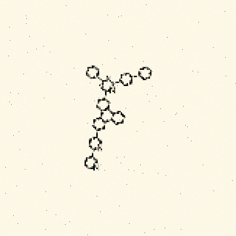 c1ccc(-c2ccc(-c3nc(-c4ccccc4)nc(-c4ccc5c6ccc(-c7ccc(-c8cccnc8)nc7)cc6c6ccccc6c5c4)n3)cc2)cc1